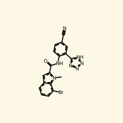 Cn1c(C(=O)Nc2ccc(C#N)cc2-c2nnn[nH]2)cc2cccc(Br)c21